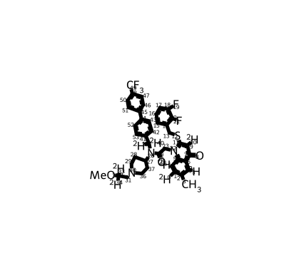 [2H]c1c(C)c([2H])c2c(=O)c([2H])c(SCc3cccc(F)c3F)n(CC(=O)N(C3CCN(CC([2H])([2H])OC)CC3)C([2H])([2H])c3ccc(-c4ccc(C(F)(F)F)cc4)cc3)c2c1[2H]